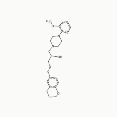 COc1ccccc1N1CCN(CC(O)COSc2ccc3c(c2)CCCO3)CC1